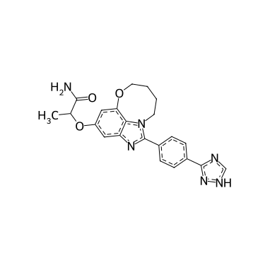 CC(Oc1cc2c3c(c1)nc(-c1ccc(-c4nc[nH]n4)cc1)n3CCCCO2)C(N)=O